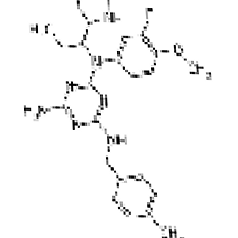 CCC(C1CCCN1)N(c1ccc(OC)c(F)c1)c1nc(N)nc(NCc2ccc(C)cc2)n1